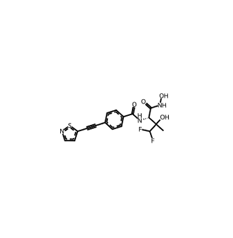 CC(O)(C(F)F)[C@H](NC(=O)c1ccc(C#Cc2ccns2)cc1)C(=O)NO